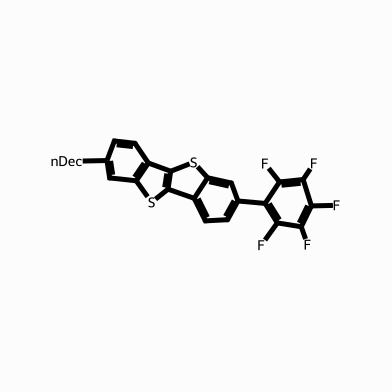 CCCCCCCCCCc1ccc2c(c1)sc1c3ccc(-c4c(F)c(F)c(F)c(F)c4F)cc3sc21